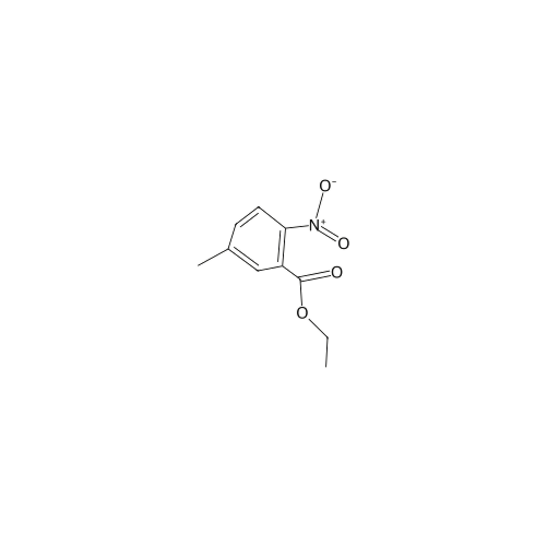 CCOC(=O)c1cc(C)ccc1[N+](=O)[O-]